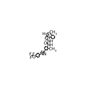 Cc1cc(-c2ncn(-c3ccc(OC(F)(F)F)cc3)n2)ccc1NC(=O)NC1SCC(=O)N1c1ccccc1C(C)C